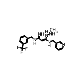 CNN/C(=C\C(=N)NCc1cccc(C(F)(F)F)c1)NCc1cccnc1